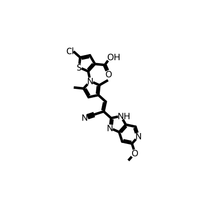 COc1cc2nc(C(C#N)=Cc3cc(C)n(-c4sc(Cl)cc4C(=O)O)c3C)[nH]c2cn1